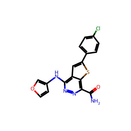 NC(=O)c1nnc(Nc2ccoc2)c2cc(-c3ccc(Cl)cc3)sc12